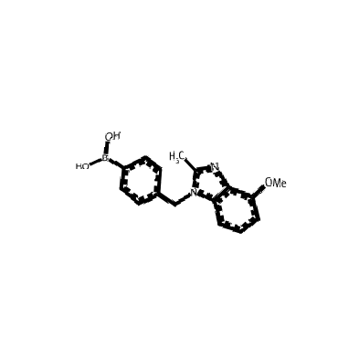 COc1cccc2c1nc(C)n2Cc1ccc(B(O)O)cc1